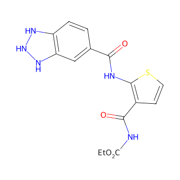 CCOC(=O)NC(=O)c1ccsc1NC(=O)c1ccc2c(c1)NNN2